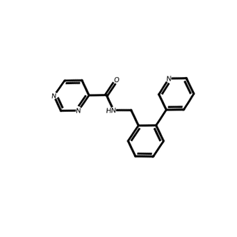 O=C(NCc1ccccc1-c1cccnc1)c1ccncn1